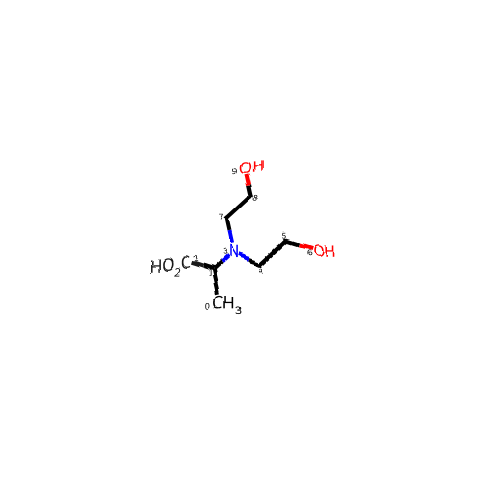 CC(C(=O)O)N(CCO)CCO